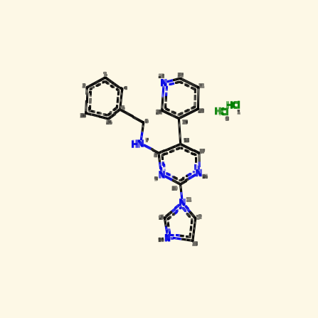 Cl.Cl.c1ccc(CNc2nc(-n3ccnc3)ncc2-c2cccnc2)cc1